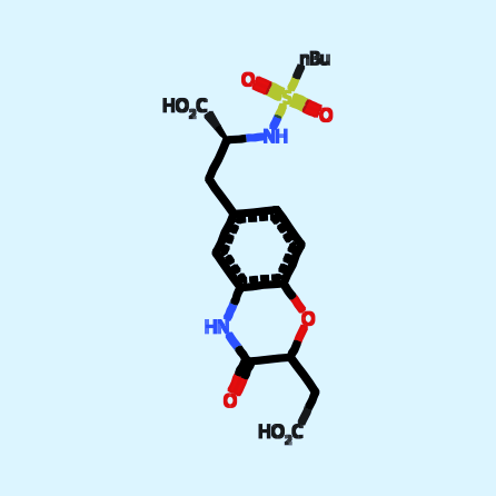 CCCCS(=O)(=O)N[C@@H](Cc1ccc2c(c1)NC(=O)C(CC(=O)O)O2)C(=O)O